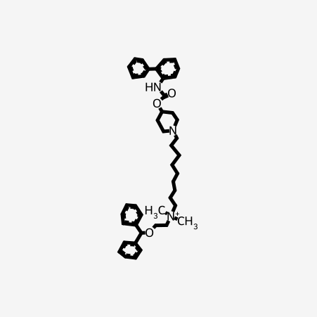 C[N+](C)(CCCCCCCCCN1CCC(OC(=O)Nc2ccccc2-c2ccccc2)CC1)CCOC(c1ccccc1)c1ccccc1